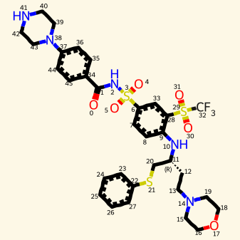 O=C(NS(=O)(=O)c1ccc(N[C@H](CCN2CCOCC2)CSc2ccccc2)c(S(=O)(=O)C(F)(F)F)c1)c1ccc(N2CCNCC2)cc1